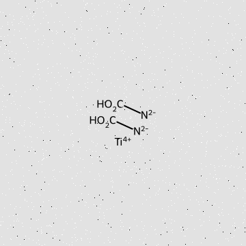 [N-2]C(=O)O.[N-2]C(=O)O.[Ti+4]